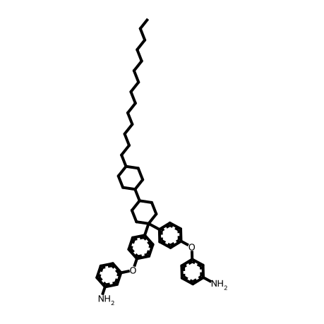 CCCCCCCCCCCCCCC1CCC(C2CCC(c3ccc(Oc4cccc(N)c4)cc3)(c3ccc(Oc4cccc(N)c4)cc3)CC2)CC1